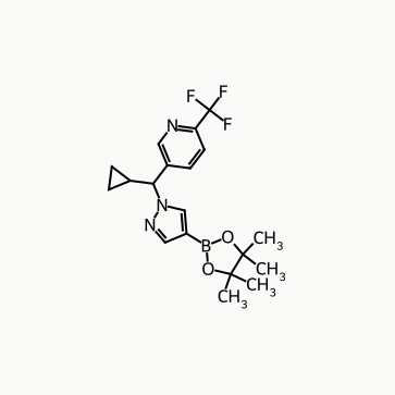 CC1(C)OB(c2cnn(C(c3ccc(C(F)(F)F)nc3)C3CC3)c2)OC1(C)C